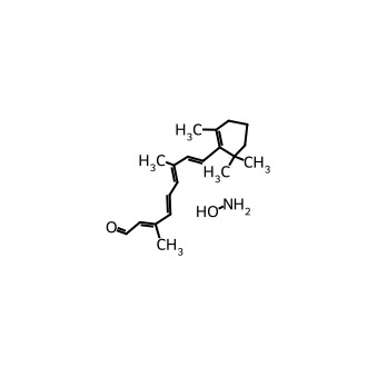 CC(C=CC=C(C)C=CC1=C(C)CCCC1(C)C)=CC=O.NO